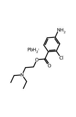 CCN(CC)CCOC(=O)c1ccc(N)cc1Cl.[PbH2]